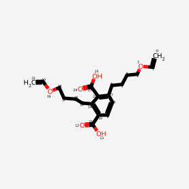 C=COCCCCc1ccc(C(=O)O)c(CCCCOC=C)c1C(=O)O